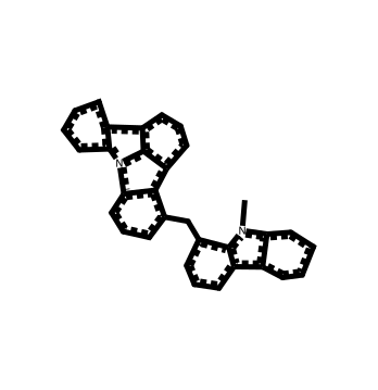 Cn1c2ccccc2c2cccc(Cc3cccc4c3c3cccc5c6ccccc6n4c53)c21